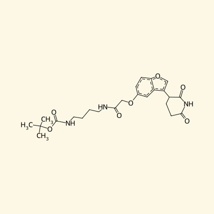 CC(C)(C)OC(=O)NCCCCNC(=O)COc1ccc2occ(C3CCC(=O)NC3=O)c2c1